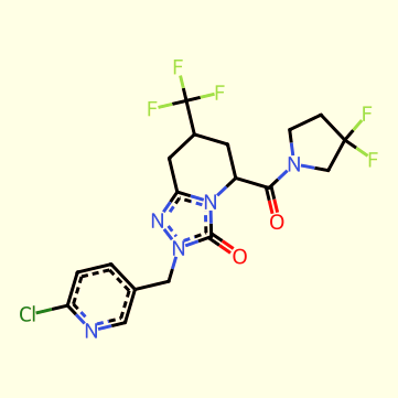 O=C(C1CC(C(F)(F)F)Cc2nn(Cc3ccc(Cl)nc3)c(=O)n21)N1CCC(F)(F)C1